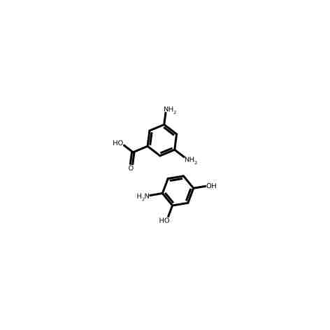 Nc1cc(N)cc(C(=O)O)c1.Nc1ccc(O)cc1O